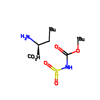 CC(C)(C)OC(=O)N[SH](=O)=O.CCC(C)C[C@H](N)C(=O)O